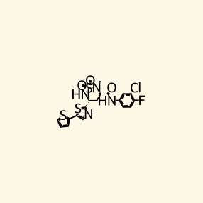 CN1[C@H](C(=O)Nc2ccc(F)c(Cl)c2)C[C@H](c2ncc(-c3cccs3)s2)NS1(=O)=O